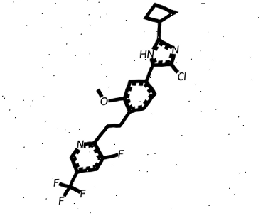 COc1cc(-c2[nH]c(C3CCC3)nc2Cl)ccc1CCc1ncc(C(F)(F)F)cc1F